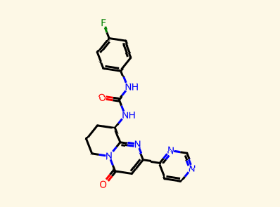 O=C(Nc1ccc(F)cc1)NC1CCCn2c1nc(-c1ccncn1)cc2=O